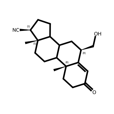 C[C@]12CCC(=O)C=C1[C@H](CO)CC1C2CC[C@@]2(C)C1CC[C@@H]2C#N